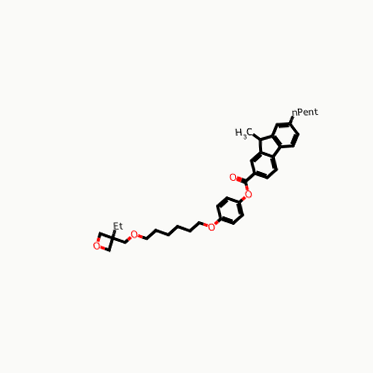 CCCCCc1ccc2c(c1)C(C)c1cc(C(=O)Oc3ccc(OCCCCCCOCC4(CC)COC4)cc3)ccc1-2